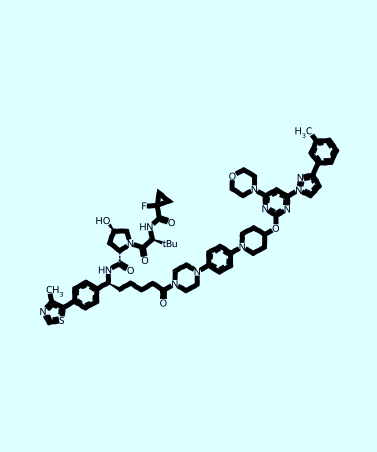 Cc1cccc(-c2ccn(-c3cc(N4CCOCC4)nc(OC4CCN(c5ccc(N6CCN(C(=O)CCCC[C@H](NC(=O)[C@@H]7C[C@@H](O)CN7C(=O)[C@@H](NC(=O)C7(F)CC7)C(C)(C)C)c7ccc(-c8scnc8C)cc7)CC6)cc5)CC4)n3)n2)c1